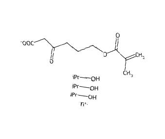 C=C(C)C(=O)OCCCC(=O)CC(=O)[O-].CC(C)O.CC(C)O.CC(C)O.[Ti+]